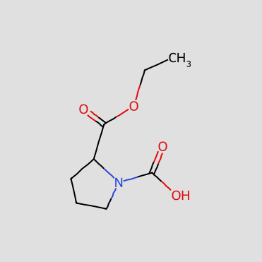 CCOC(=O)C1CCCN1C(=O)O